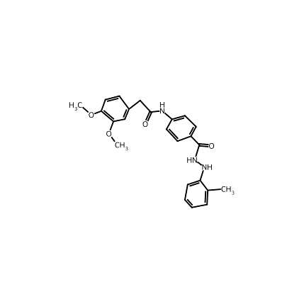 COc1ccc(CC(=O)Nc2ccc(C(=O)NNc3ccccc3C)cc2)cc1OC